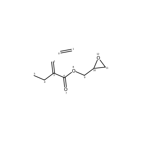 C=C.C=C(CC)C(=O)OCC1CO1